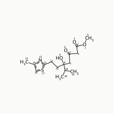 COC(=O)CC(=O)CC(O)(CCc1nc(C)cs1)C(C)C